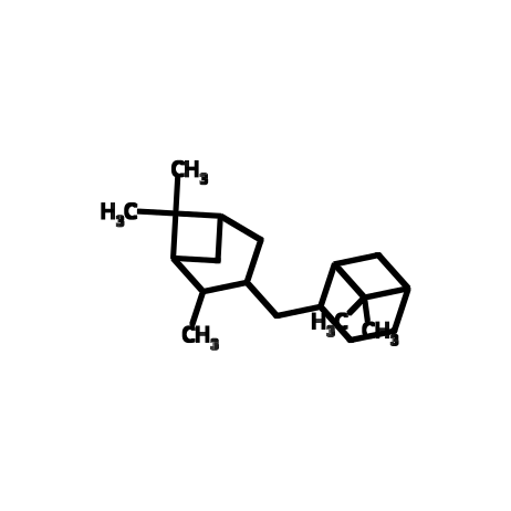 CC1C(CC2CCC3CC2C3(C)C)CC2CC1C2(C)C